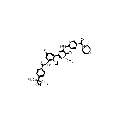 Cn1cc(-c2cc(F)cc(NC(=O)c3ccc(C(C)(C)C)cc3)c2Cl)cc(Nc2ccc(C(=O)N3CCOCC3)cn2)c1=O